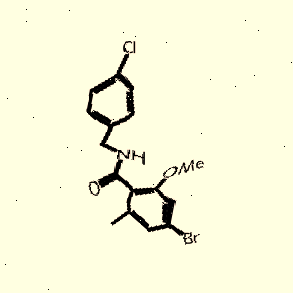 COc1cc(Br)cc(C)c1C(=O)NCc1ccc(Cl)cc1